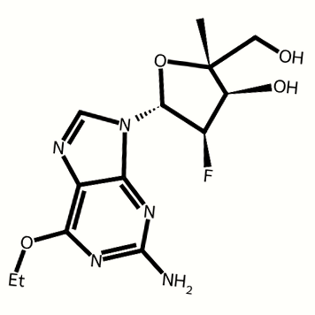 CCOc1nc(N)nc2c1ncn2[C@@H]1O[C@](C)(CO)[C@@H](O)[C@H]1F